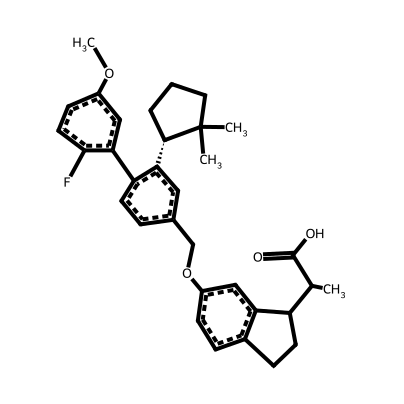 COc1ccc(F)c(-c2ccc(COc3ccc4c(c3)C(C(C)C(=O)O)CC4)cc2[C@@H]2CCCC2(C)C)c1